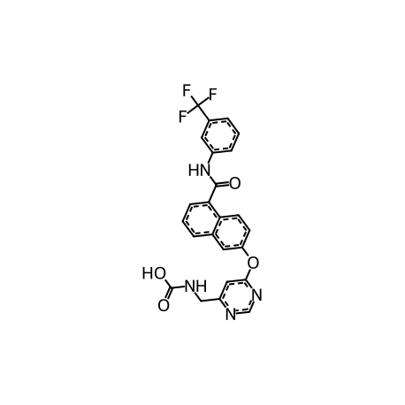 O=C(O)NCc1cc(Oc2ccc3c(C(=O)Nc4cccc(C(F)(F)F)c4)cccc3c2)ncn1